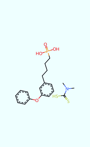 CN(C)C(=S)S.O=P(O)(O)CCCCc1cccc(Oc2ccccc2)c1